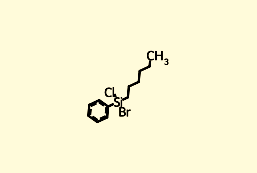 CCCCCC[Si](Cl)(Br)c1ccccc1